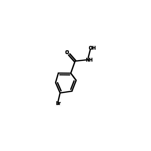 O=C(NO)c1ccc(Br)cc1